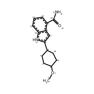 COC1CCC(c2cc3c(C(N)=O)cccc3[nH]2)CC1